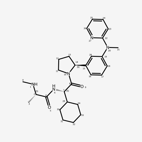 CN[C@@H](C)C(=O)N[C@H](C(=O)N1CCC[C@H]1c1cccc(N(C)c2ccccn2)c1)C1CCCCC1